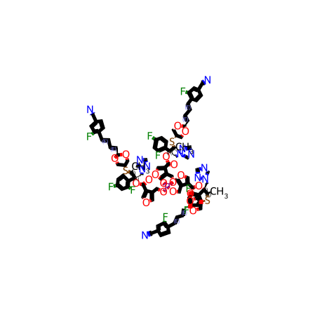 C[C@@H](S[C@H]1CO[C@H](/C=C/C=C/c2ccc(C#N)cc2F)OC1)[C@@](Cn1cncn1)(OC(=O)c1cocc1COP(=O)(OCc1cocc1C(=O)O[C@@](Cn1cncn1)(c1ccc(F)cc1F)[C@@H](C)S[C@H]1CO[C@H](/C=C/C=C/c2ccc(C#N)cc2F)OC1)OCc1cocc1C(=O)O[C@@](Cn1cncn1)(c1ccc(F)cc1F)[C@@H](C)S[C@H]1CO[C@H](/C=C/C=C/c2ccc(C#N)cc2F)OC1)c1ccc(F)cc1F